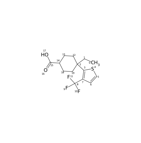 CCC1(c2sccc2C(F)(F)F)CCC(C(=O)O)CC1